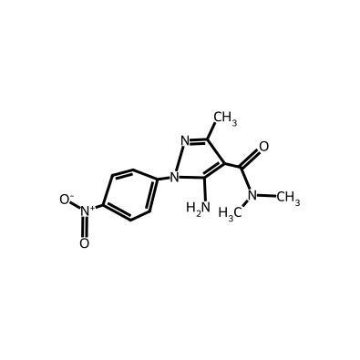 Cc1nn(-c2ccc([N+](=O)[O-])cc2)c(N)c1C(=O)N(C)C